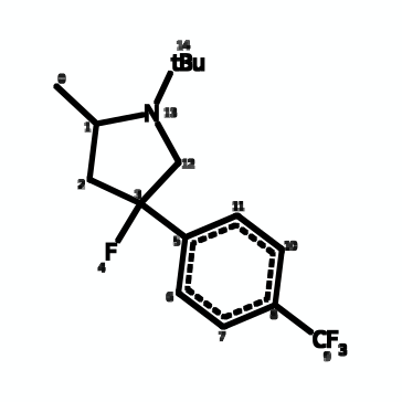 CC1CC(F)(c2ccc(C(F)(F)F)cc2)CN1C(C)(C)C